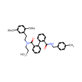 COc1ccc(OC)c(CCN(CCC(=O)O)C(=O)c2ccccc2-c2ccccc2C(=O)NCc2ccc(C)cc2)c1